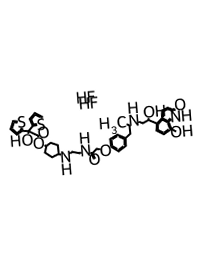 CC(Cc1ccc(OCC(=O)NCCNC2CCC(OC(=O)C(O)(c3cccs3)c3cccs3)CC2)cc1)NCC(O)c1ccc(O)c2[nH]c(=O)ccc12.F.F